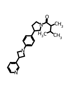 CC(C)C(C)C(=O)N1CCC(c2ccc(N3CC(c4cccnc4)C3)cc2)C1